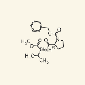 COC(=O)[C@@H](NC(=O)[C@@H]1CCCN1C(=O)OCc1ccccc1)C(C)C